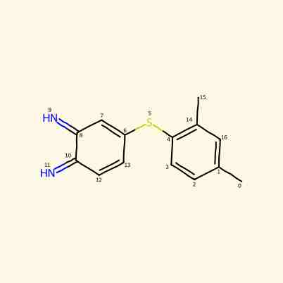 Cc1ccc(SC2=CC(=N)C(=N)C=C2)c(C)c1